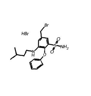 Br.CC(C)CCNc1cc(CBr)cc(S(N)(=O)=O)c1Oc1ccccc1